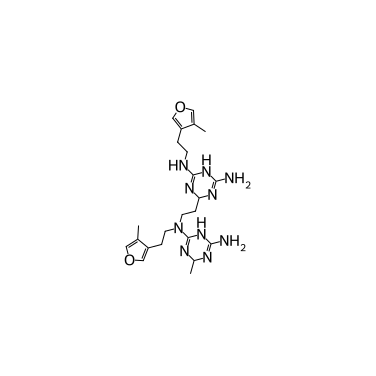 Cc1cocc1CCNC1=NC(CCN(CCc2cocc2C)C2=NC(C)N=C(N)N2)N=C(N)N1